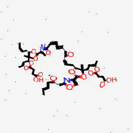 C/C=C\C[C@H](OC(=O)c1coc(/C=C\C=C\[C@@H]2O[C@@H]2/C=C\C[C@H](OC(=O)c2coc(C[C@H](/C=C/CC)OC)n2)C(C)(C)[C@H](/C=C/C)OC(=O)CCC(=O)O)n1)C(C)(C)[C@H](/C=C/C)OC(=O)CCC(=O)O